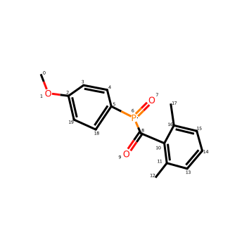 COc1ccc([P](=O)C(=O)c2c(C)cccc2C)cc1